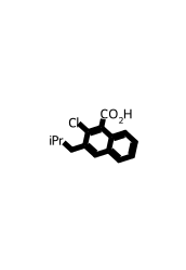 CC(C)Cc1cc2ccccc2c(C(=O)O)c1Cl